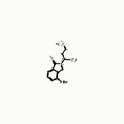 CCCCc1cccc2c1CN(C(CCC(=O)O)C(=O)O)C2=O